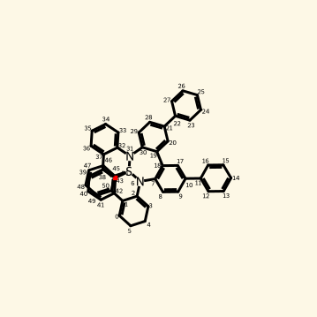 C1=C2C(=CCC1)N1c3ccc(-c4ccccc4)cc3-c3cc(-c4ccccc4)ccc3N3c4ccccc4-c4ccccc4S13c1ccccc12